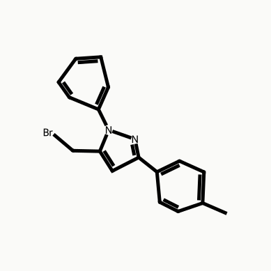 Cc1ccc(-c2cc(CBr)n(-c3ccccc3)n2)cc1